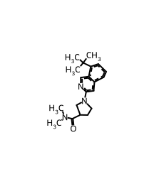 CN(C)C(=O)C1CCN(c2cc3cccc(C(C)(C)C)c3cn2)C1